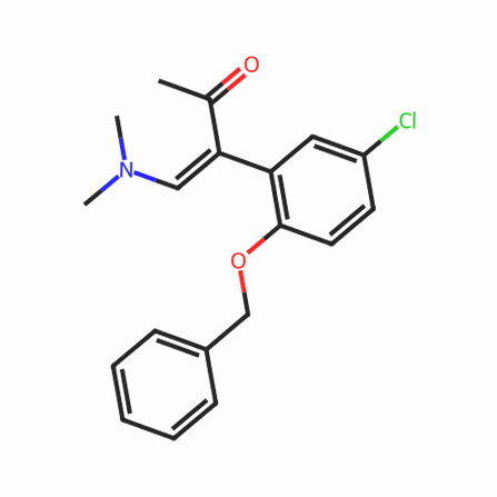 CC(=O)/C(=C\N(C)C)c1cc(Cl)ccc1OCc1ccccc1